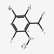 Fc1[c]c(Br)c(Cl)c(C(F)F)c1OC(F)(F)F